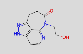 O=C1CCc2n[nH]c3ccnc(c23)N1CCO